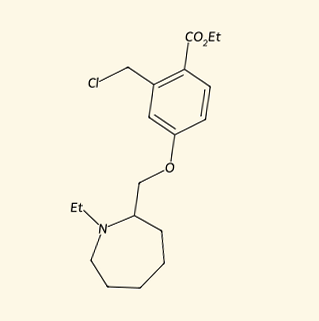 CCOC(=O)c1ccc(OCC2CCCCCN2CC)cc1CCl